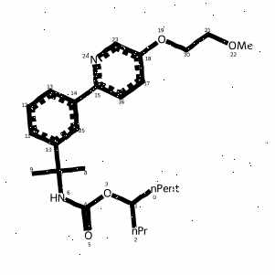 CCCCCC(CCC)OC(=O)NC(C)(C)c1cccc(-c2ccc(OCCOC)cn2)c1